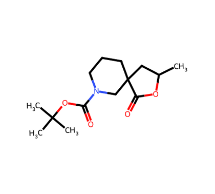 CC1CC2(CCCN(C(=O)OC(C)(C)C)C2)C(=O)O1